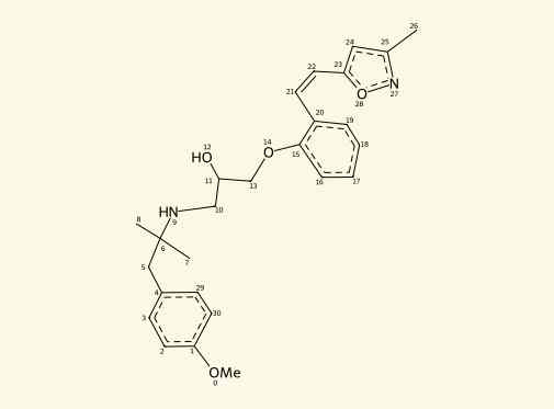 COc1ccc(CC(C)(C)NCC(O)COc2ccccc2/C=C\c2cc(C)no2)cc1